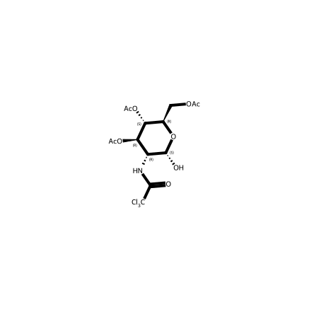 CC(=O)OC[C@H]1O[C@H](O)[C@H](NC(=O)C(Cl)(Cl)Cl)[C@@H](OC(C)=O)[C@@H]1OC(C)=O